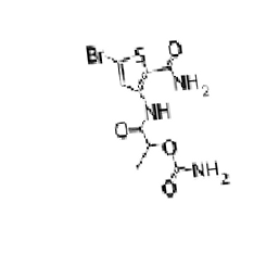 CC(OC(N)=O)C(=O)Nc1cc(Br)sc1C(N)=O